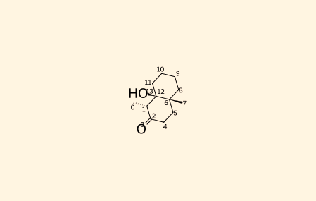 C[C@H]1C(=O)CC[C@@]2(C)CCCC[C@@]12O